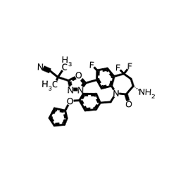 CC(C)(C#N)c1nnc(-c2cc3c(cc2F)C(F)(F)C[C@H](N)C(=O)N3Cc2ccc(Oc3ccccc3)cc2)o1